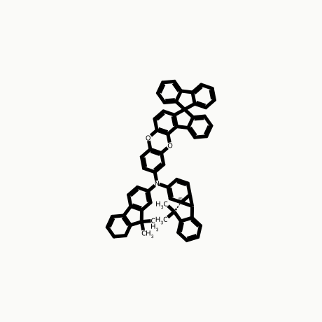 CC1(C)C2=C(C=CCC2)c2ccc(N(C3=C[C@@]45C(C=C3)C4c3ccccc3C5(C)C)c3ccc4c(c3)Oc3c(ccc5c3-c3ccccc3C53c5ccccc5-c5ccccc53)O4)cc21